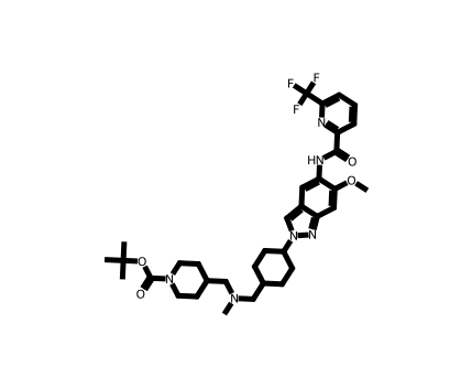 COc1cc2nn(C3CCC(CN(C)CC4CCN(C(=O)OC(C)(C)C)CC4)CC3)cc2cc1NC(=O)c1cccc(C(F)(F)F)n1